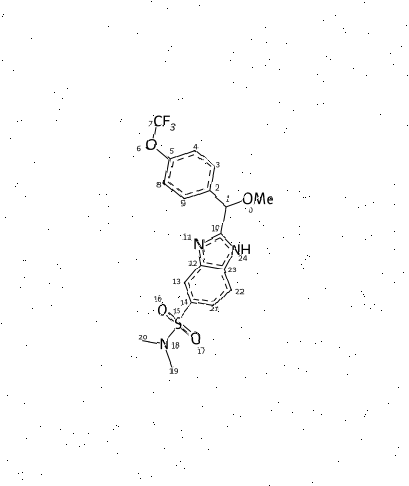 COC(c1ccc(OC(F)(F)F)cc1)c1nc2cc(S(=O)(=O)N(C)C)ccc2[nH]1